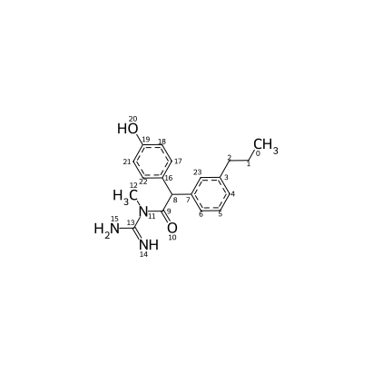 CCCc1cccc(C(C(=O)N(C)C(=N)N)c2ccc(O)cc2)c1